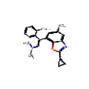 CN(C)/C=C(\c1ccccc1C=O)c1cc([N+](=O)[O-])cc2nc(C3CC3)oc12